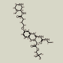 CCNC(=O)NC1=Nc2cc(OCCCC(=O)NC3CNCCN3C)ccc2CN1CC(=O)OCC(C)(C)C